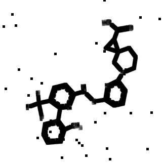 Cc1ccccc1-c1nc(NSc2cccc(N3CCCC4(CC4C(=O)O)C3)n2)ccc1C(F)(F)F